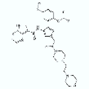 CC(C)Sc1ccc(OC(F)F)c(-c2nn(CC(=O)N3CCN(CCN4CCOCC4)CC3)cc2NC(=O)C2=C3N=CC=CN3NC2)c1